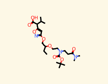 CCC(COc1cc(C(C(=O)O)C(C)C)on1)OCCN(CCC(=O)N(C)C)C(=O)OC(C)(C)C